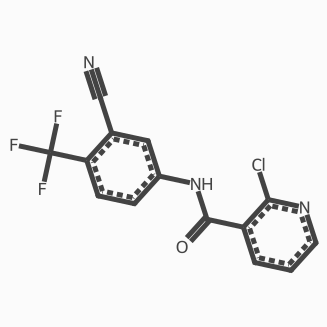 N#Cc1cc(NC(=O)c2cccnc2Cl)ccc1C(F)(F)F